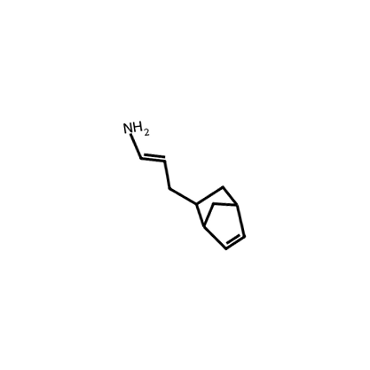 NC=CCC1CC2C=CC1C2